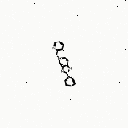 c1ccc(-c2nc3ccn(Cc4ccccn4)cc-3n2)cc1